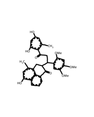 COc1cc(OC)c(C(CC(=O)c2c(C)cc(O)cc2O)C(Cc2ccc(O)cc2C)C(=O)c2ccccc2)cc1OC